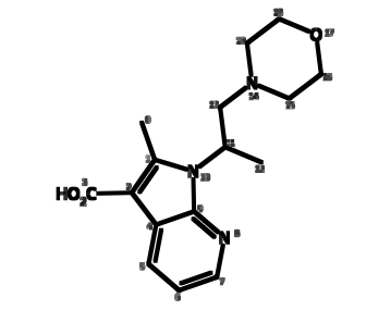 Cc1c(C(=O)O)c2cccnc2n1C(C)CN1CCOCC1